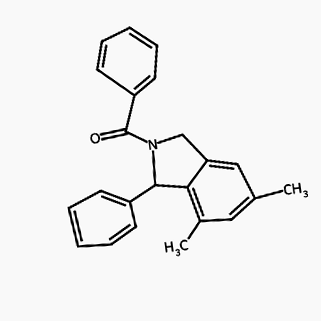 Cc1cc(C)c2c(c1)CN(C(=O)c1ccccc1)C2c1ccccc1